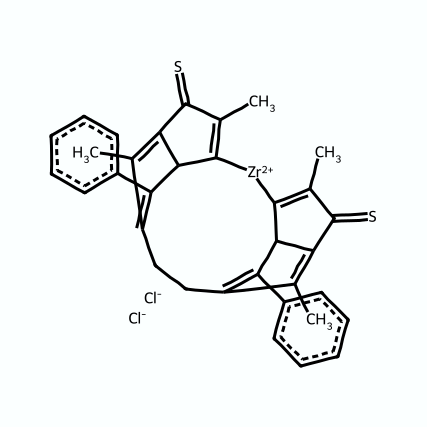 CC1=[C]2[Zr+2][C]3=C(C)C(=S)C4=C(C)C(=C(c5ccccc5)C34)CCC3=C(c4ccccc4)C2C(=C3C)C1=S.[Cl-].[Cl-]